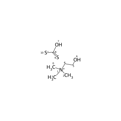 C[N+](C)(C)CCO.OC(=S)[S-]